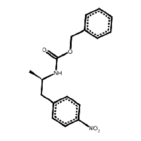 C[C@H](Cc1ccc([N+](=O)[O-])cc1)NC(=O)OCc1ccccc1